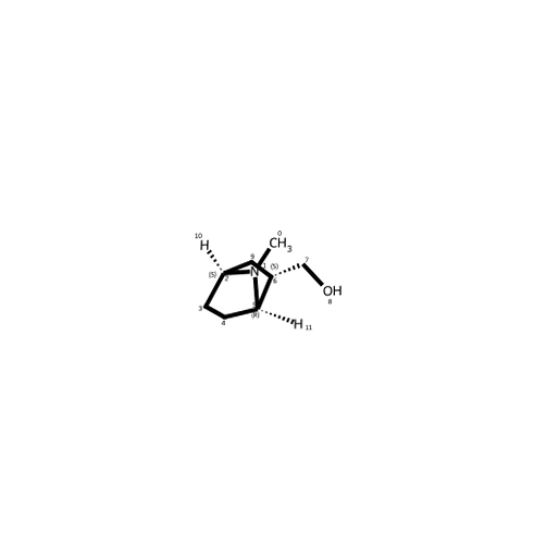 CN1[C@H]2CC[C@@H]1[C@@H](CO)C2